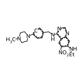 CCNc1cc2ncnc(NCc3ccc(N4CCN(C)CC4)cc3)c2cc1[N+](=O)[O-]